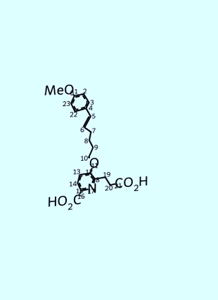 COc1ccc(C=CCCCCOc2ccc(C(=O)O)nc2CCC(=O)O)cc1